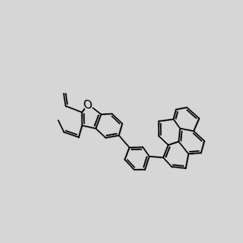 C=Cc1oc2ccc(-c3cccc(-c4ccc5ccc6cccc7ccc4c5c67)c3)cc2c1/C=C\C